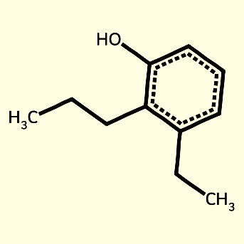 CCCc1c(O)cccc1CC